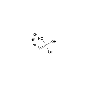 F.N.O=P(O)(O)O.[KH]